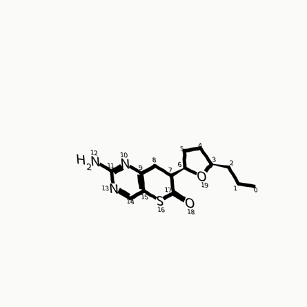 CCC[C@@H]1CC[C@H](C2Cc3nc(N)ncc3SC2=O)O1